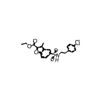 CCOC(=O)c1oc2ccc(S(=O)(=O)NCCc3ccc(Cl)cc3)cc2c1C